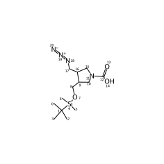 CC(C)(C)[Si](C)(C)OCC1CN(C(=O)O)CC1CN=[N+]=[N-]